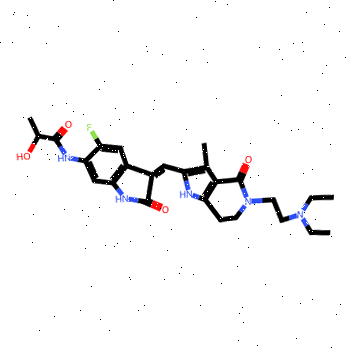 CCN(CC)CCN1CCc2[nH]c(C=C3C(=O)Nc4cc(NC(=O)C(C)O)c(F)cc43)c(C)c2C1=O